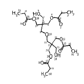 CCC(=O)OCC(CO)(COCC(CO)(COC(=O)CC)COC(=O)CC)COC(=O)CC